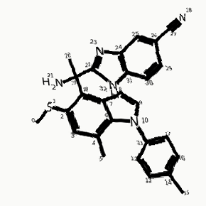 CSc1cc(C)c2c(ccn2-c2ccc(C)cc2)c1C(C)(N)c1nc2cc(C#N)ccc2[nH]1